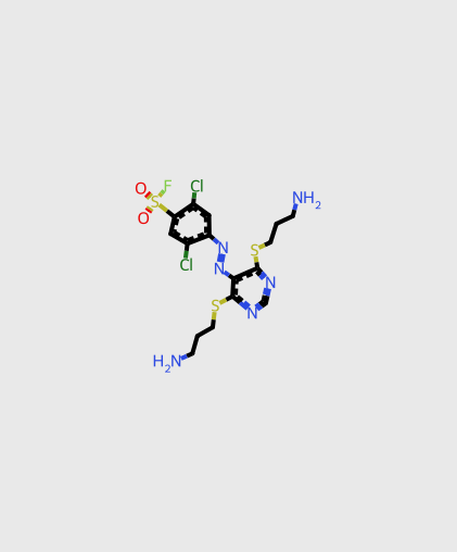 NCCCSc1ncnc(SCCCN)c1N=Nc1cc(Cl)c(S(=O)(=O)F)cc1Cl